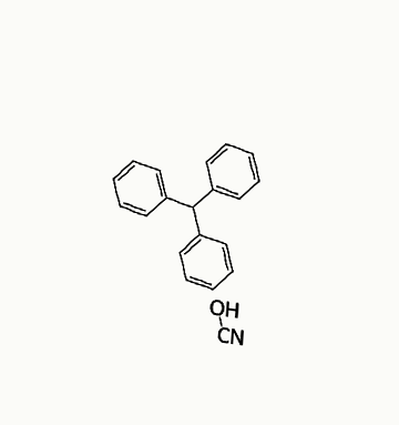 N#CO.c1ccc(C(c2ccccc2)c2ccccc2)cc1